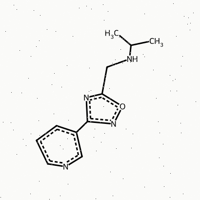 CC(C)NCc1nc(-c2cccnc2)no1